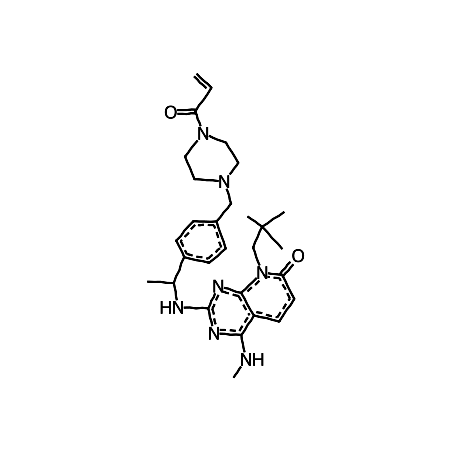 C=CC(=O)N1CCN(Cc2ccc(C(C)Nc3nc(NC)c4ccc(=O)n(CC(C)(C)C)c4n3)cc2)CC1